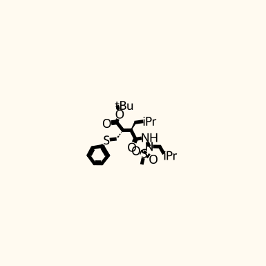 CC(C)C[C@@H](C(=O)NN(CC(C)C)S(C)(=O)=O)[C@H](CSc1ccccc1)C(=O)OC(C)(C)C